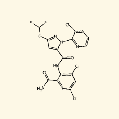 NC(=O)c1nc(Cl)cc(Cl)c1NC(=O)c1cc(OC(F)F)nn1-c1ncccc1Cl